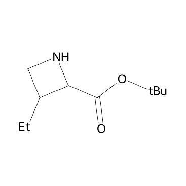 CCC1CNC1C(=O)OC(C)(C)C